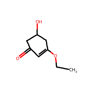 CCOC1=CC(=O)CC(O)C1